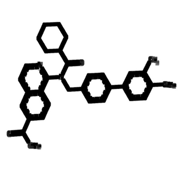 COC(=O)c1ccc2c(N(Cc3ccc(-c4ccc(OC)c(C)c4)cc3)C(=O)C3CCCCC3)nccc2c1